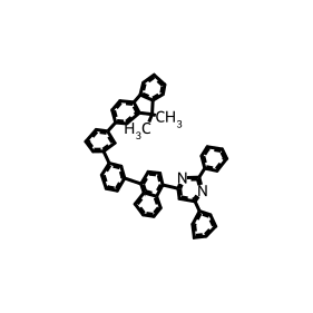 CC1(C)c2ccccc2-c2ccc(-c3cccc(-c4cccc(-c5ccc(-c6cc(-c7ccccc7)nc(-c7ccccc7)n6)c6ccccc56)c4)c3)cc21